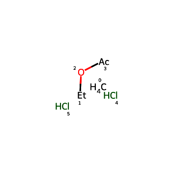 C.CCOC(C)=O.Cl.Cl